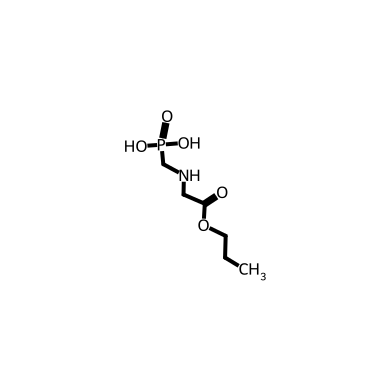 CCCOC(=O)CNCP(=O)(O)O